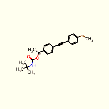 CSc1ccc(C#Cc2ccc([C@H](C)OC(=O)NC(C)(C)C)cc2)cc1